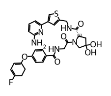 Nc1cccc(-c2csc(CNC(=O)[C@@H]3CC(O)(O)CN3C(=O)CNC(=O)c3ccc(OC4=CC=C(F)CC4)cc3)c2)n1